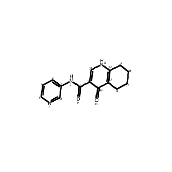 O=C(Nc1cccnc1)c1c[nH]c2c(c1=O)CCCC2